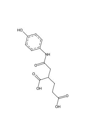 O=C(O)CCC(CC(=O)Nc1ccc(O)cc1)C(=O)O